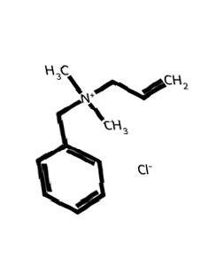 C=CC[N+](C)(C)Cc1ccccc1.[Cl-]